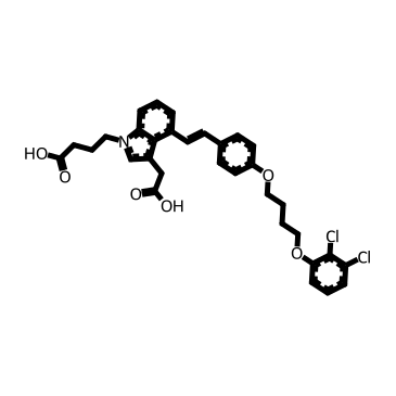 O=C(O)CCCn1cc(CC(=O)O)c2c(C=Cc3ccc(OCCCCOc4cccc(Cl)c4Cl)cc3)cccc21